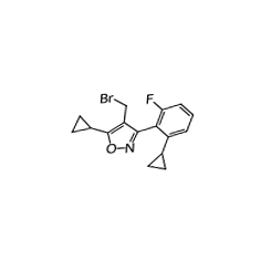 Fc1cccc(C2CC2)c1-c1noc(C2CC2)c1CBr